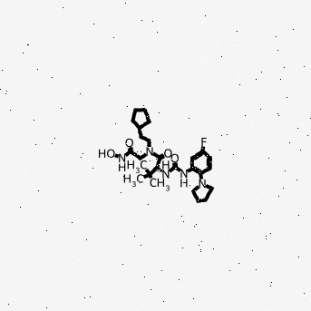 CC(C)(C)[C@H](NC(=O)Nc1cc(F)ccc1N1CCCC1)C(=O)N(CCC1CCCC1)CC(=O)NO